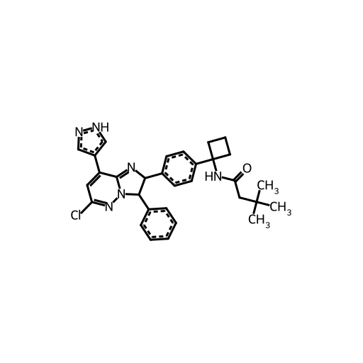 CC(C)(C)CC(=O)NC1(c2ccc(C3N=C4C(c5cn[nH]c5)=CC(Cl)=NN4C3c3ccccc3)cc2)CCC1